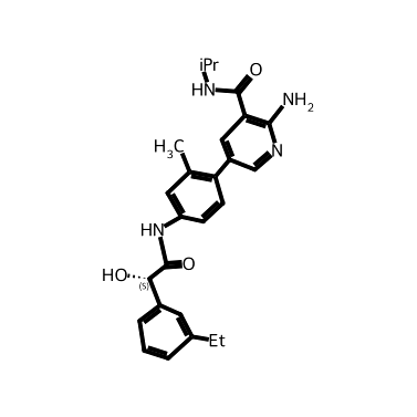 CCc1cccc([C@H](O)C(=O)Nc2ccc(-c3cnc(N)c(C(=O)NC(C)C)c3)c(C)c2)c1